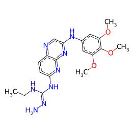 CCN/C(=N\N)Nc1ccc2ncc(Nc3cc(OC)c(OC)c(OC)c3)nc2n1